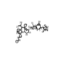 Cc1ncsc1C1=CC=C([C@H](C)NC[C@@H]2CCCN2C(=O)[C@H](C(C)C)C2CC(OCC=O)=NO2)C2CC12